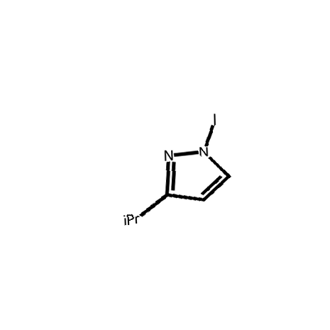 CC(C)c1ccn(I)n1